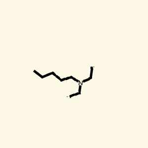 [CH2]CN(C[CH2])CCCCC